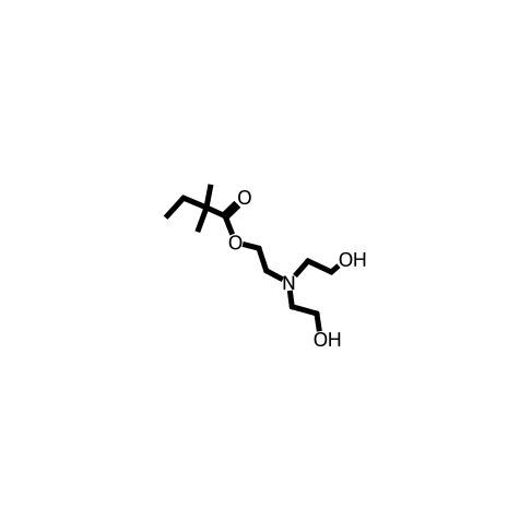 CCC(C)(C)C(=O)OCCN(CCO)CCO